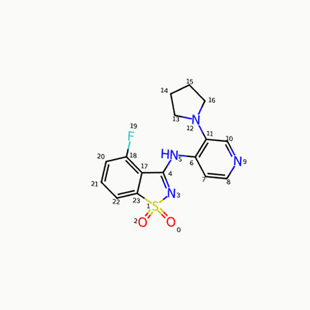 O=S1(=O)N=C(Nc2ccncc2N2CCCC2)c2c(F)cccc21